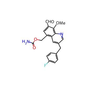 COc1c(C=O)cc(COC(N)=O)c2cc(Cc3ccc(F)cc3)cnc12